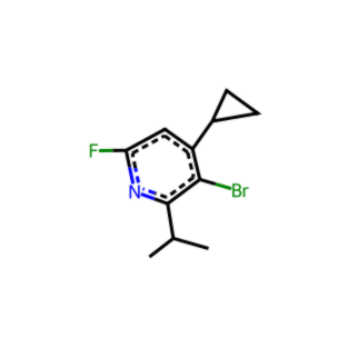 CC(C)c1nc(F)cc(C2CC2)c1Br